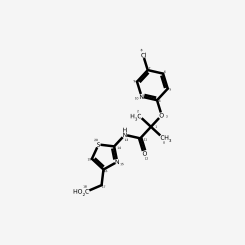 CC(C)(Oc1ccc(Cl)cn1)C(=O)Nc1nc(CC(=O)O)cs1